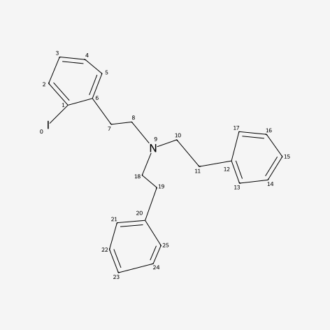 Ic1ccccc1CCN(CCc1ccccc1)CCc1ccccc1